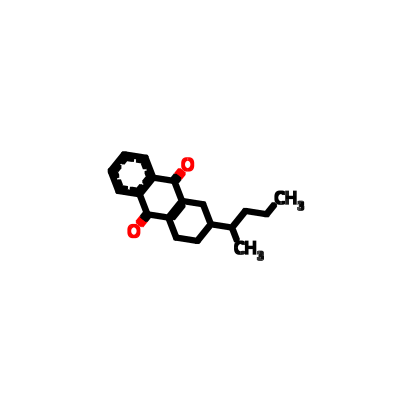 CCCC(C)C1CCC2=C(C1)C(=O)c1ccccc1C2=O